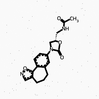 CC(=O)NC[C@H]1CN(c2ccc3c(c2)CCCc2cnoc2-3)C(=O)O1